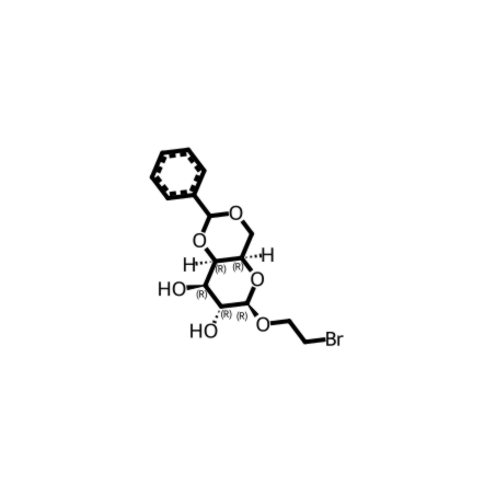 O[C@@H]1[C@@H](O)[C@H](OCCBr)O[C@@H]2COC(c3ccccc3)O[C@H]12